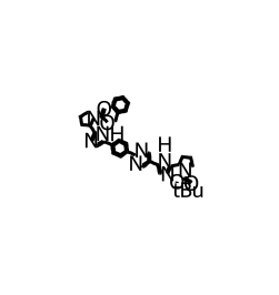 CC(C)(C)OC(=O)N1CCCC1c1ncc(-c2cnc(-c3ccc(-c4cnc(C5CCCN5C(=O)OCc5ccccc5)[nH]4)cc3)nc2)[nH]1